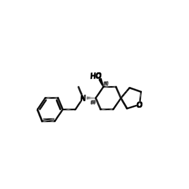 CN(Cc1ccccc1)[C@H]1CCC2(CCOC2)C[C@@H]1O